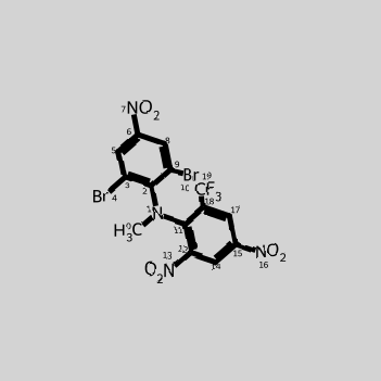 CN(c1c(Br)cc([N+](=O)[O-])cc1Br)c1c([N+](=O)[O-])cc([N+](=O)[O-])cc1C(F)(F)F